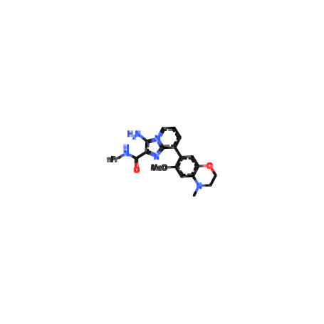 CCCNC(=O)c1nc2c(-c3cc4c(cc3OC)N(C)CCO4)cccn2c1N